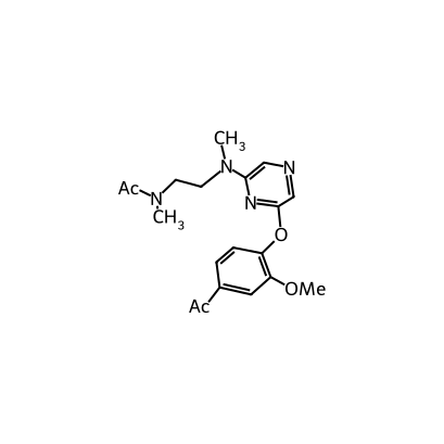 COc1cc(C(C)=O)ccc1Oc1cncc(N(C)CCN(C)C(C)=O)n1